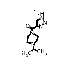 CC(C)N1CCN(C(=O)c2c[nH]nn2)CC1